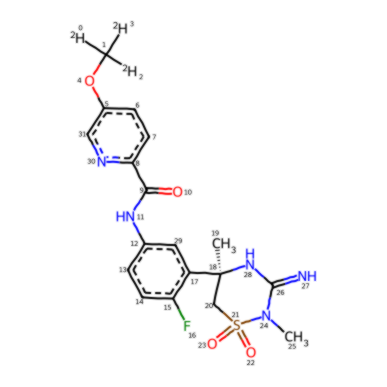 [2H]C([2H])([2H])Oc1ccc(C(=O)Nc2ccc(F)c([C@]3(C)CS(=O)(=O)N(C)C(=N)N3)c2)nc1